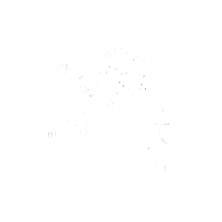 Cc1ccc(S(=O)(=O)OCCn2c(=O)c(C)cn([C@@H]3O[C@H](COC(=O)OC(C)(C)C)[C@@H](OC(=O)OC(C)(C)C)[C@@H]3OC(=O)OC(C)(C)C)c2=O)cc1